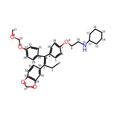 CCC(=C(c1ccc(OCCNC2CCCCC2)cc1)c1ccc(OCOC)cc1)c1ccc2c(c1)OCO2